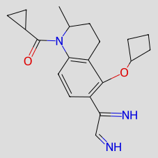 CC1CCc2c(ccc(C(=N)C=N)c2OC2CCC2)N1C(=O)C1CC1